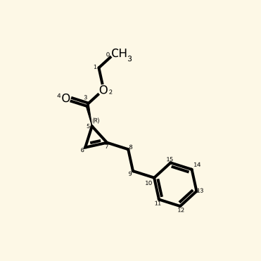 CCOC(=O)[C@@H]1C=C1CCc1ccccc1